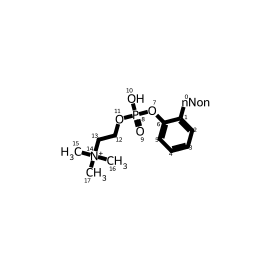 CCCCCCCCCc1ccccc1OP(=O)(O)OCC[N+](C)(C)C